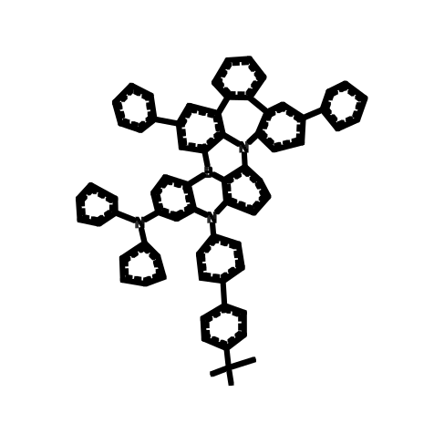 CC(C)(C)c1ccc(-c2ccc(N3c4cc(N(c5ccccc5)c5ccccc5)ccc4B4c5cc(-c6ccccc6)cc6c5N(c5ccc(-c7ccccc7)cc5-c5ccccc5-6)c5cccc3c54)cc2)cc1